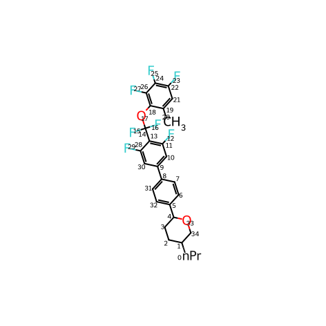 CCCC1CCC(c2ccc(-c3cc(F)c(C(F)(F)Oc4c(C)cc(F)c(F)c4F)c(F)c3)cc2)OC1